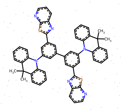 CC1(C)c2ccccc2N(c2cc(-c3cc(-c4nc5cccnc5s4)cc(N4c5ccccc5C(C)(C)c5ccccc54)c3)cc(-c3nc4cccnc4s3)c2)c2ccccc21